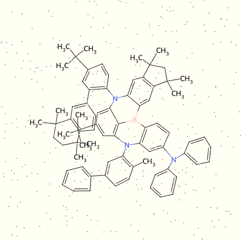 Cc1ccc(-c2ccccc2)cc1N1c2cc(N(c3ccccc3)c3ccccc3)ccc2B2c3cc4c(cc3N(c3ccc(C(C)(C)C)cc3-c3ccc5c(c3)C(C)(C)CCC5(C)C)c3cc(C(C)(C)C)cc1c32)C(C)(C)CC4(C)C